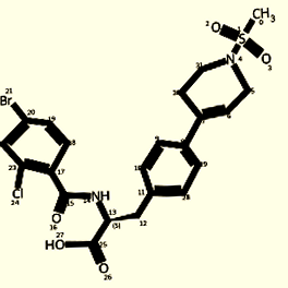 CS(=O)(=O)N1CC=C(c2ccc(C[C@H](NC(=O)c3ccc(Br)cc3Cl)C(=O)O)cc2)CC1